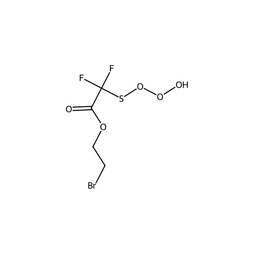 O=C(OCCBr)C(F)(F)SOOO